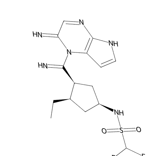 CC[C@@H]1C[C@H](NS(=O)(=O)C(F)F)C[C@@H]1C(=N)n1c(=N)cnc2[nH]ccc21